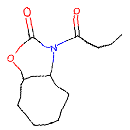 CCC(=O)N1C(=O)OC2CCCCC21